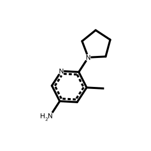 Cc1cc(N)cnc1N1CCCC1